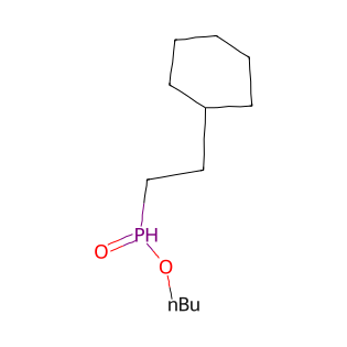 CCCCO[PH](=O)CCC1CCCCC1